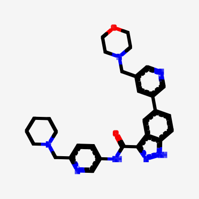 O=C(Nc1ccc(CN2CCCCC2)nc1)c1n[nH]c2ccc(-c3cncc(CN4CCOCC4)c3)cc12